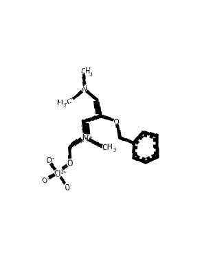 CN(C)C=C(C=[N+](C)CO[Cl+3]([O-])([O-])[O-])OCc1ccccc1